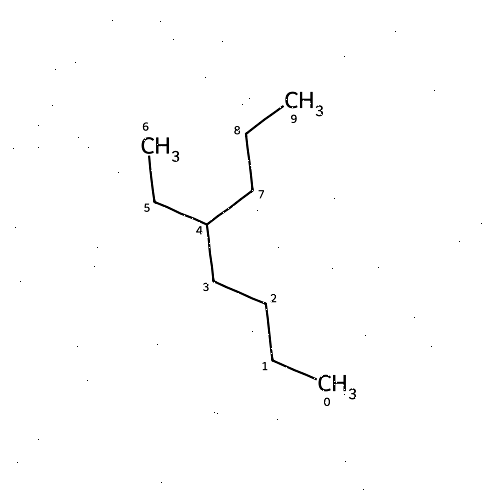 CCCCC(CC)CCC